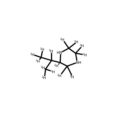 [2H]C([2H])([2H])C([2H])(C([2H])([2H])[2H])[C@@]1([2H])NC([2H])([2H])C([2H])([2H])NC1([2H])[2H]